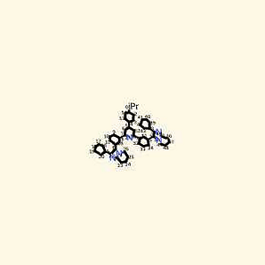 CC(C)c1ccc(-c2cc(-c3cccc(-c4c(-c5ccccc5)nc5ccccn45)c3)nc(-c3cccc(-c4c(-c5ccccc5)nc5ccccn45)c3)c2)cc1